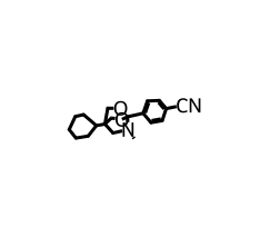 CN1CC2(C3CCCCC3)COC1(c1ccc(C#N)cc1)OC2